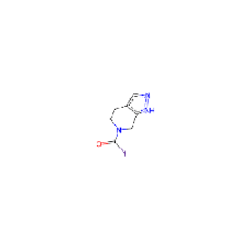 O=C(I)N1CCc2cn[nH]c2C1